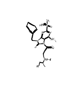 CCCS(=N)(=O)c1nc(N)c2c(n1)n(Cc1ccccc1)c(=O)n2C(=O)CN[C@@H](C)CC(C)C